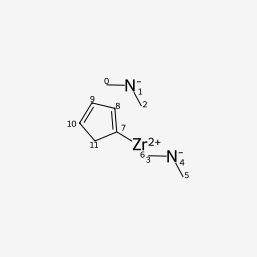 C[N-]C.C[N-]C.[Zr+2][C]1=CC=CC1